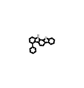 c1ccc(-c2cccc3[nH]c4c(ccc5c6ccccc6oc54)c23)cc1